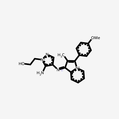 COc1ccc(C2=C(C)/C(=N\c3cnn(CCO)c3N)c3cccc[n+]32)cc1